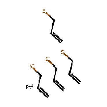 C=CC[S-].C=CC[S-].C=CC[S-].C=CC[S-].[Pt+4]